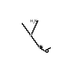 C=C(N)CCCCCCCCCCCN(CCCCCCCCCCCC)CCCCCCCCCCCn1cc(CCC[C@@H]2CCCC(CCC)C2)nn1